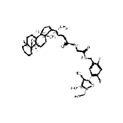 C[C@H](CCC(=O)NCC(=O)NCc1cc([C@@H]2O[C@H](CO)[C@H](O)C2O)c(F)cc1F)C1CC[C@@H]2C3CC[C@H]4CCCC[C@@]4(C)[C@@H]3CC[C@@]12C